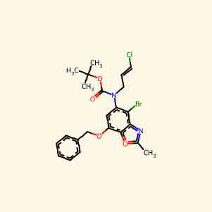 Cc1nc2c(Br)c(N(CC=CCl)C(=O)OC(C)(C)C)cc(OCc3ccccc3)c2o1